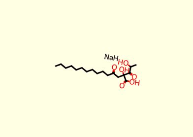 CCCCCCCCCCCC(=O)CC(O)(C(=O)O)C(=O)C(C)O.[NaH]